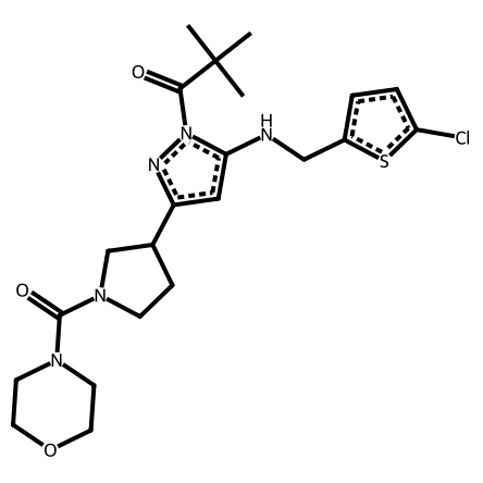 CC(C)(C)C(=O)n1nc(C2CCN(C(=O)N3CCOCC3)C2)cc1NCc1ccc(Cl)s1